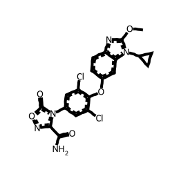 COc1nc2ccc(Oc3c(Cl)cc(-n4c(C(N)=O)noc4=O)cc3Cl)cc2n1C1CC1